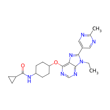 CCn1c(-c2cnc(C)nc2)nc2c(OC3CCC(NC(=O)C4CC4)CC3)ncnc21